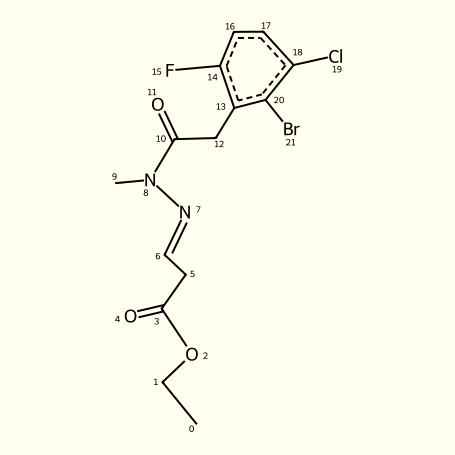 CCOC(=O)CC=NN(C)C(=O)Cc1c(F)ccc(Cl)c1Br